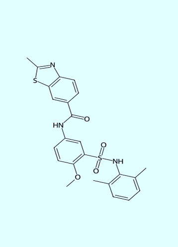 COc1ccc(NC(=O)c2ccc3nc(C)sc3c2)cc1S(=O)(=O)Nc1c(C)cccc1C